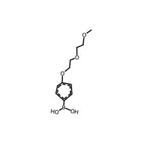 COCCOCCOc1ccc(B(O)O)cc1